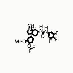 COc1cc([C@@]23CC[C@@H](NC(=O)Nc4cc(F)c(F)c(F)c4)C[C@@H]2N(C)CC3)ccc1OC(F)F